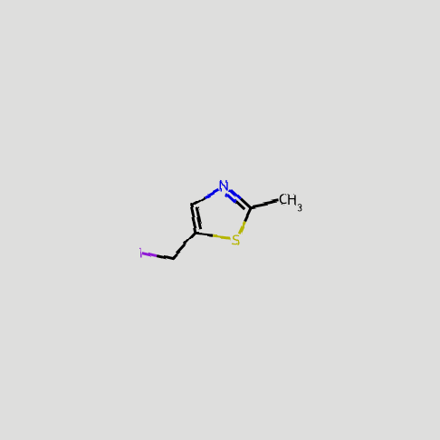 Cc1ncc(CI)s1